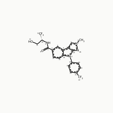 Cn1cc2c3cc(C(=O)N[C@H](CO)C(F)(F)F)ccc3n(-c3ccc(C(F)(F)F)cc3)c2n1